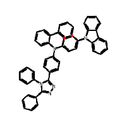 c1ccc(-c2ccccc2N(c2ccc(-c3nnc(-c4ccccc4)n3-c3ccccc3)cc2)c2ccc(-n3c4ccccc4c4ccccc43)cc2)cc1